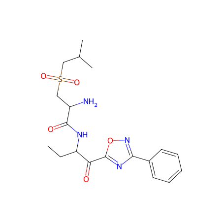 CCC(NC(=O)C(N)CS(=O)(=O)CC(C)C)C(=O)c1nc(-c2ccccc2)no1